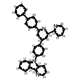 c1ccc(-c2ccc(-c3cc(-c4ccc(-n5c6ccccc6c6ncccc65)cc4)cc(-c4ccccn4)n3)cc2)cc1